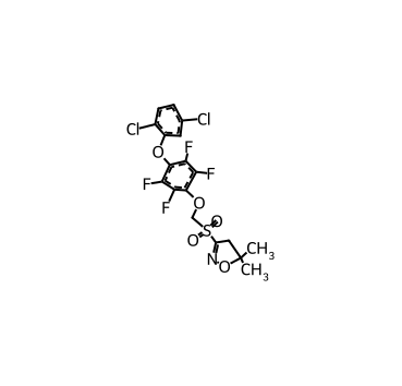 CC1(C)CC(S(=O)(=O)COc2c(F)c(F)c(Oc3cc(Cl)ccc3Cl)c(F)c2F)=NO1